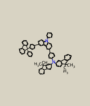 CC1(C)c2ccccc2-c2cc(N(c3ccc(-c4ccc5c(c4)c4cc(-c6ccc(C7(c8ccccc8)c8ccccc8-c8ccccc87)cc6)ccc4n5-c4ccccc4)cc3)c3ccc4c(c3)C(C)(C)c3ccccc3-4)ccc21